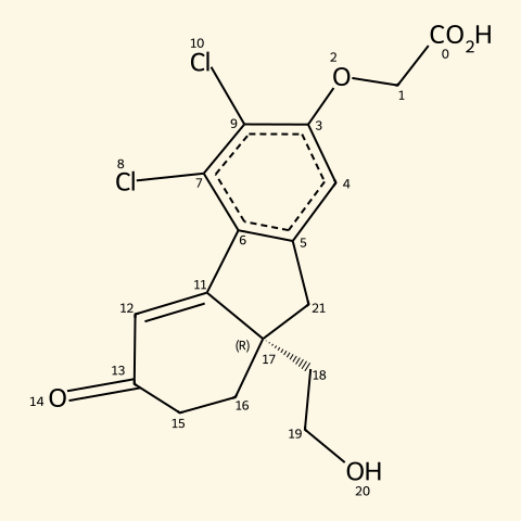 O=C(O)COc1cc2c(c(Cl)c1Cl)C1=CC(=O)CC[C@]1(CCO)C2